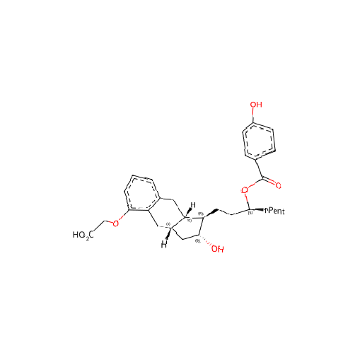 CCCCC[C@@H](CC[C@@H]1[C@H]2Cc3cccc(OCC(=O)O)c3C[C@H]2C[C@H]1O)OC(=O)c1ccc(O)cc1